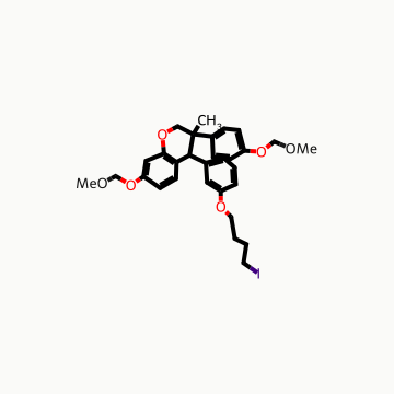 COCOc1ccc(C2(C)COc3cc(OCOC)ccc3C2c2cccc(OCCCCI)c2)cc1